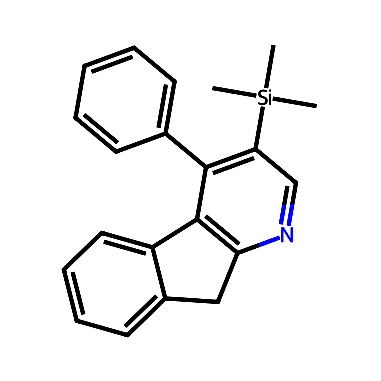 C[Si](C)(C)c1cnc2c(c1-c1ccccc1)-c1ccccc1C2